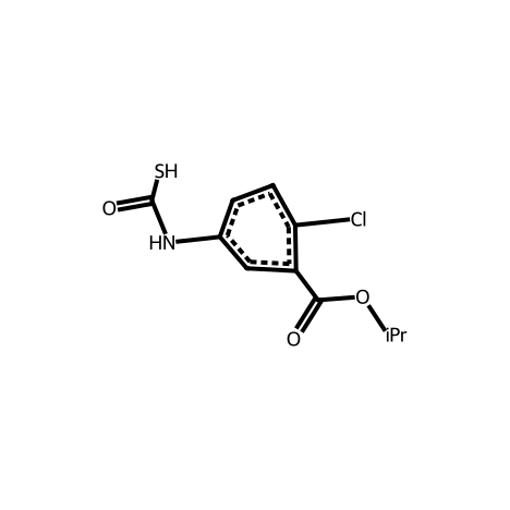 CC(C)OC(=O)c1cc(NC(=O)S)ccc1Cl